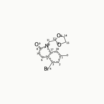 Cc1cc(Br)c2ccc(=O)n(CC3OCCO3)c2c1